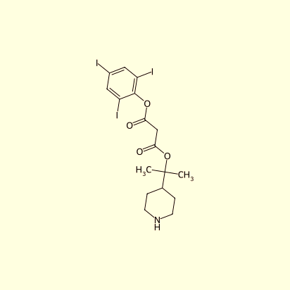 CC(C)(OC(=O)CC(=O)Oc1c(I)cc(I)cc1I)C1CCNCC1